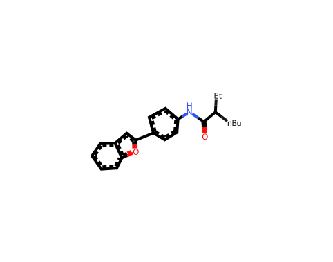 CCCCC(CC)C(=O)Nc1ccc(-c2cc3ccccc3o2)cc1